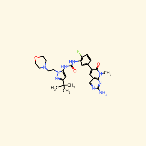 Cn1c(=O)c(-c2ccc(F)c(NC(=O)Nc3cc(C(C)(C)C)nn3CCN3CCOCC3)c2)cc2cnc(N)nc21